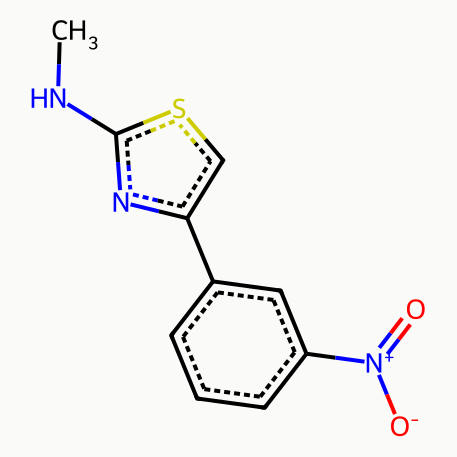 CNc1nc(-c2cccc([N+](=O)[O-])c2)cs1